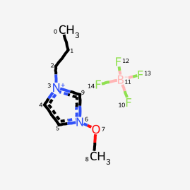 CCC[n+]1ccn(OC)c1.F[B-](F)(F)F